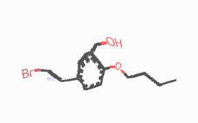 CCCCOc1ccc(/C=C/Br)cc1CO